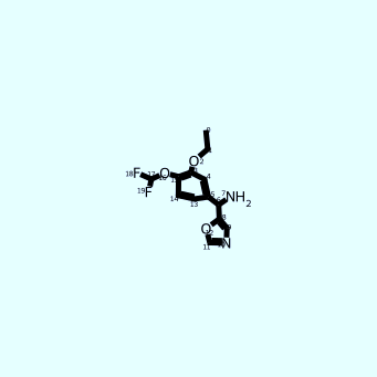 CCOc1cc(C(N)c2cnco2)ccc1OC(F)F